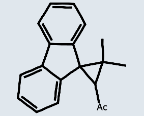 CC(=O)C1C(C)(C)C12c1ccccc1-c1ccccc12